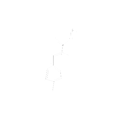 Cc1ccc(/C=C(\F)C(=O)OC(C)(C)C)cc1